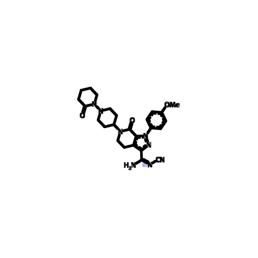 COc1ccc(-n2nc(/C(N)=N\C#N)c3c2C(=O)N(C2CCN(N4CCCCC4=O)CC2)CC3)cc1